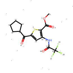 COC(=O)c1sc(C(=O)C2CCCC2)cc1NC(=O)C(F)(F)F